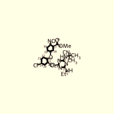 CCNc1nc(Cl)nc(NC(C)(C)C#N)n1.COC(=O)c1cc(Oc2ccc(Cl)cc2Cl)ccc1[N+](=O)[O-]